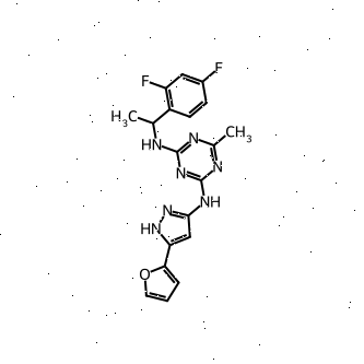 Cc1nc(Nc2cc(-c3ccco3)[nH]n2)nc(NC(C)c2ccc(F)cc2F)n1